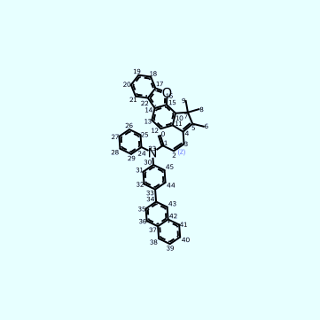 C=C(/C=C\C1=C(C)C(C)(C)c2c1ccc1c2oc2ccccc21)N(c1ccccc1)c1ccc(-c2ccc3ccccc3c2)cc1